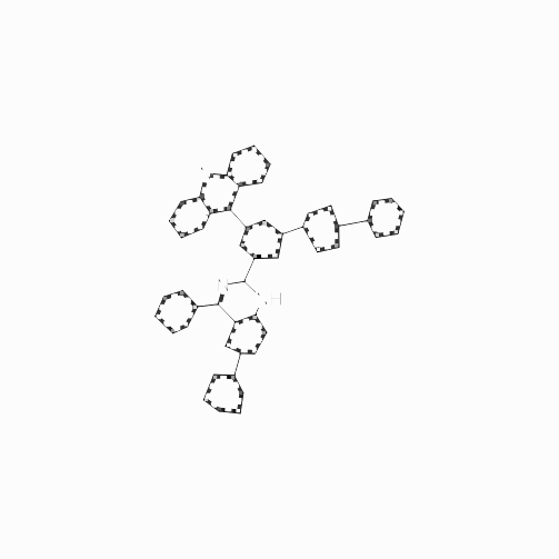 c1ccc(C2=NC(c3cc(-c4ccc(-c5ccccc5)cc4)cc(-c4c5ccccc5nc5ccccc45)c3)Nc3ccc(-c4ccccc4)cc32)cc1